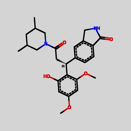 COc1cc(O)c([C@H](CC(=O)N2CC(C)CC(C)C2)c2ccc3c(c2)CNC3=O)c(OC)c1